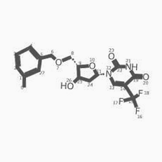 Cc1cccc(COC[C@@H]2O[C@H](n3cc(C(F)(F)F)c(=O)[nH]c3=O)CC2O)c1